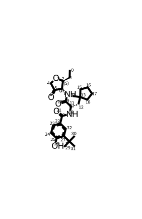 CC[C@@H]1OCC(=O)[C@H]1NC(=O)[C@H](CC1(C)CCCC1)NC(=O)c1ccc(O)c(C(C)(C)C)c1